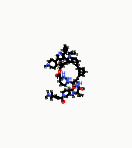 COC1(c2ncc(C3CCCN(C)CC3)cc2-c2c3c4cc(ccc4n2CC(F)(F)F)-c2cccc(c2)CC(NNC(=O)C(C(C)C)N(C)C(=O)C2(F)CCN(C(=O)C#CC(C)(C)N(C)C)CC2)C(=O)N2CCC[C@H](NN2)C(=O)OCC(C)(C)C3)C2CC21